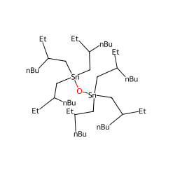 CCCCC(CC)[CH2][Sn]([CH2]C(CC)CCCC)([CH2]C(CC)CCCC)[O][Sn]([CH2]C(CC)CCCC)([CH2]C(CC)CCCC)[CH2]C(CC)CCCC